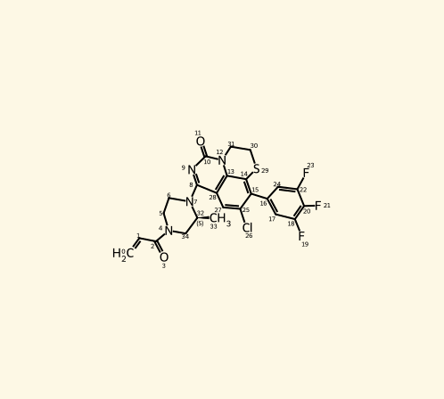 C=CC(=O)N1CCN(c2nc(=O)n3c4c(c(-c5cc(F)c(F)c(F)c5)c(Cl)cc24)SCC3)[C@@H](C)C1